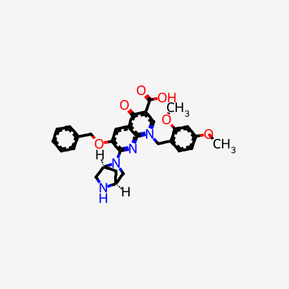 COc1ccc(Cn2cc(C(=O)O)c(=O)c3cc(OCc4ccccc4)c(N4C[C@@H]5C[C@H]4CN5)nc32)c(OC)c1